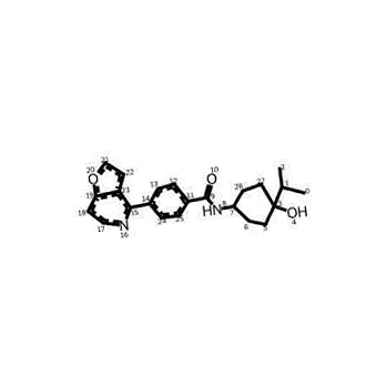 CC(C)C1(O)CCC(NC(=O)c2ccc(-c3nccc4occc34)cc2)CC1